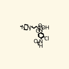 CC(=O)Nc1ccc(N(O)S(=O)(=O)CCC[N+]2(C)CCN(C)CC2)cc1Cl